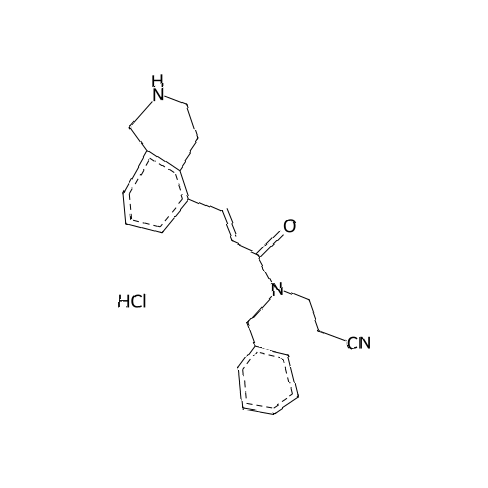 Cl.N#CCCN(Cc1ccccc1)C(=O)/C=C/c1cccc2c1CCNC2